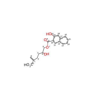 C=C(CCC(O)COC(=O)c1cc2ccccc2cc1O)C(=O)O